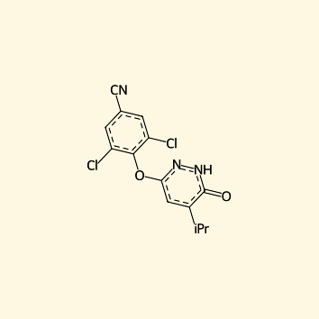 CC(C)c1cc(Oc2c(Cl)cc(C#N)cc2Cl)n[nH]c1=O